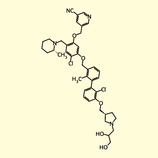 Cc1c(COc2cc(OCc3cncc(C#N)c3)c(CN3CCCC[C@H]3C)cc2Cl)cccc1-c1cccc(OC[C@H]2CCN(CC(O)CO)C2)c1Cl